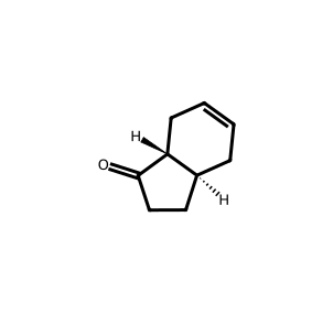 O=C1CC[C@@H]2CC=CC[C@@H]12